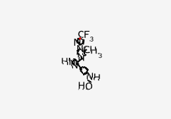 CC1CN(Cc2c[nH]nc2-c2ccc(NCCO)cc2)CCN1c1ccc(C(F)(F)F)cn1